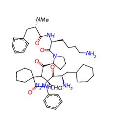 CN[C@@H](Cc1ccccc1)C(=O)N[C@@H](CCCCN)C(=O)N1CCC[C@H]1C(=O)C(C1(C(=O)Nc2ccccc2)CCCCC1)[C@](N)([C]=O)C(=O)[C@H](N)CC1CCCCC1